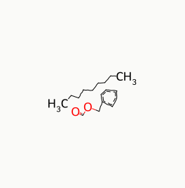 CCCCCCCCC.O=COCc1ccccc1